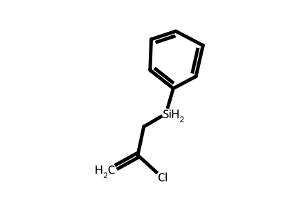 C=C(Cl)C[SiH2]c1ccccc1